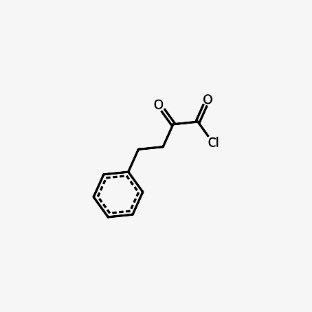 O=C(Cl)C(=O)CCc1ccccc1